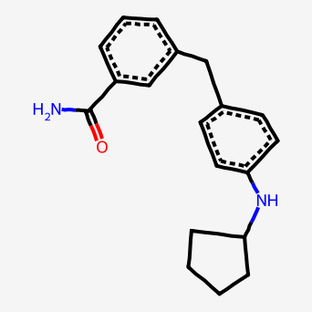 NC(=O)c1cccc(Cc2ccc(NC3CCCC3)cc2)c1